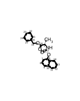 C[C@H](N[PH](=O)Oc1cccc2ccccc12)C(=O)OCc1ccccc1